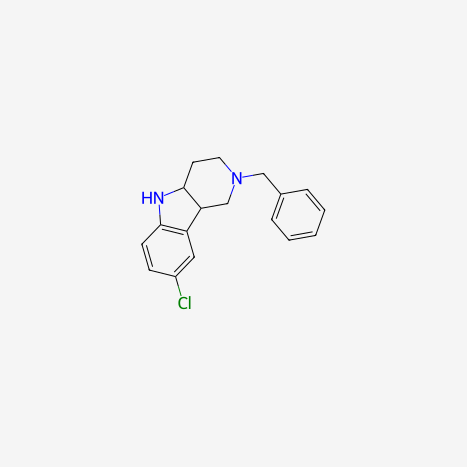 Clc1ccc2c(c1)C1CN(Cc3ccccc3)CCC1N2